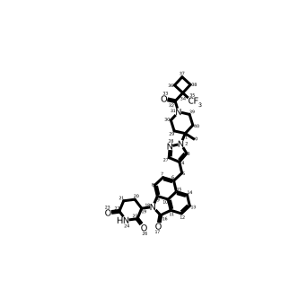 CC1(n2cc(Cc3ccc4c5c(cccc35)C(=O)N4C3CCC(=O)NC3=O)cn2)CCN(C(=O)C2(C(F)(F)F)CCC2)CC1